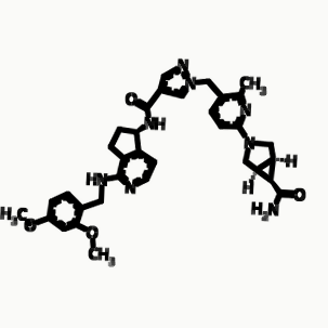 COc1ccc(CNc2nccc3c2CC[C@H]3NC(=O)c2cnn(Cc3ccc(N4C[C@@H]5[C@H](C4)[C@@H]5C(N)=O)nc3C)c2)c(OC)c1